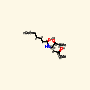 CCCCCCCCCCCCCCC(=O)N[C@@H](CC(=O)OC)C(=O)OC